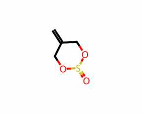 C=C1COS(=O)OC1